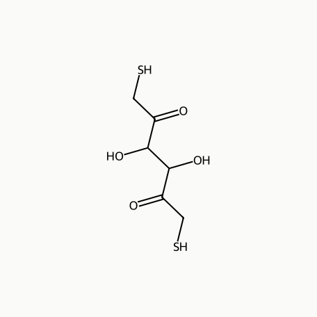 O=C(CS)C(O)C(O)C(=O)CS